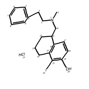 CN(CCc1ccccc1)CC1CCCc2c1ccc(O)c2I.Cl